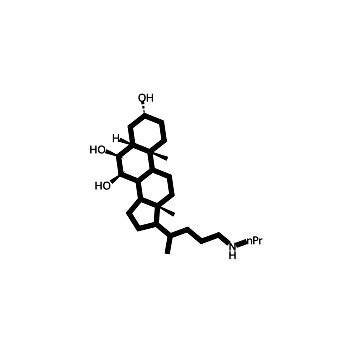 CCCNCCCC(C)C1CCC2C3C(CC[C@]12C)[C@@]1(C)CC[C@@H](O)C[C@H]1[C@H](O)[C@@H]3O